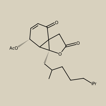 CC(=O)O[C@@H]1C=CC(=O)C23CC(=O)O[C@@]2(CC(C)CCCC(C)C)C13